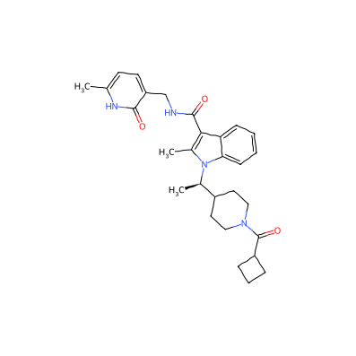 Cc1ccc(CNC(=O)c2c(C)n([C@H](C)C3CCN(C(=O)C4CCC4)CC3)c3ccccc23)c(=O)[nH]1